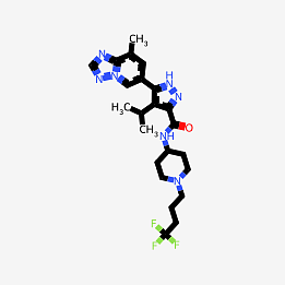 Cc1cc(-c2[nH]nc(C(=O)NC3CCN(CCCC(F)(F)F)CC3)c2C(C)C)cn2ncnc12